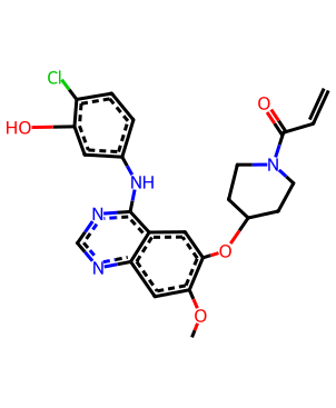 C=CC(=O)N1CCC(Oc2cc3c(Nc4ccc(Cl)c(O)c4)ncnc3cc2OC)CC1